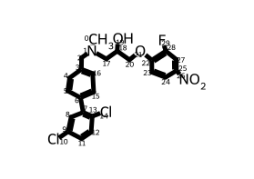 CN(Cc1ccc(-c2cc(Cl)ccc2Cl)cc1)CC(O)COc1ccc([N+](=O)[O-])cc1F